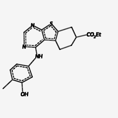 CCOC(=O)C1CCc2c(sc3ncnc(Nc4ccc(C)c(O)c4)c23)C1